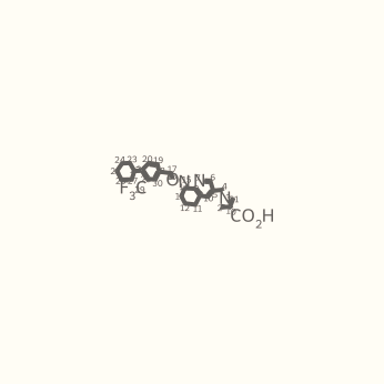 O=C(O)C1CN(Cc2cnc3c(c2)CCCC3=NOCc2ccc(C3CCCCC3)c(C(F)(F)F)c2)C1